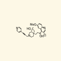 COc1ccc2ncc(Cl)c([C@H](O)CCC3(CC(=O)O)CCN(CC#Cc4ccncc4)CC3)c2c1